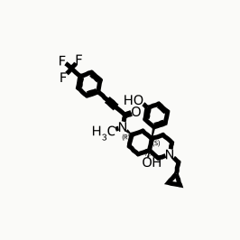 CN(C(=O)C#Cc1ccc(C(F)(F)F)cc1)[C@@H]1CC[C@]2(O)CN(CC3CC3)CC[C@@]2(c2cccc(O)c2)C1